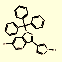 Cn1cc(-c2nn(C(c3ccccc3)(c3ccccc3)c3ccccc3)c3cc(Br)cnc23)cn1